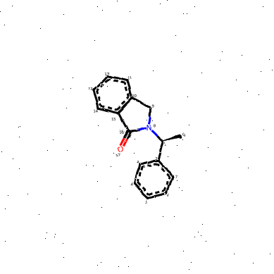 C[C@@H](c1ccccc1)N1Cc2ccccc2C1=O